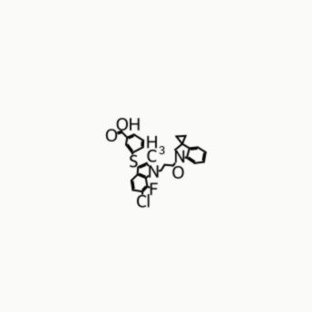 Cc1c(Sc2cccc(C(=O)O)c2)c2ccc(Cl)c(F)c2n1CCC(=O)N1CC2(CC2)c2ccccc21